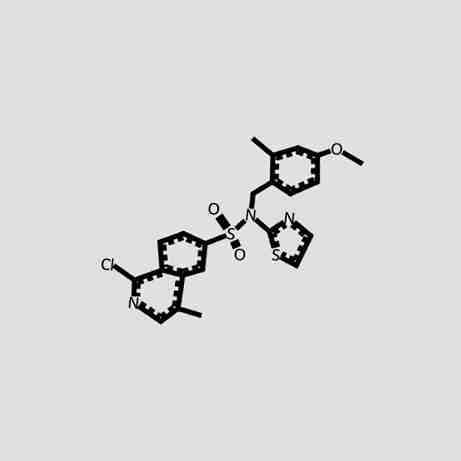 COc1ccc(CN(c2nccs2)S(=O)(=O)c2ccc3c(Cl)ncc(C)c3c2)c(C)c1